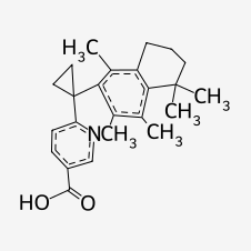 Cc1c(C)c(C2(c3ccc(C(=O)O)cn3)CC2)c(C)c2c1C(C)(C)CCC2